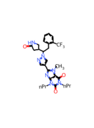 CCCn1c(=O)c2c(nc(-c3cnn(C(Cc4ccccc4C(F)(F)F)C4CNC(=O)C4)c3)n2C)n(CCC)c1=O